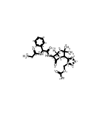 CC(C)C(=O)OCn1nnnc1C1N2C(=O)C(NC(=O)C(NC(=O)CN)c3ccccc3)[C@@H]2SC1(C)C